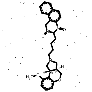 COc1cccc2c1[C@@H]1CN(CCCCC3[N+](=O)Cc4c(ccc5ccccc45)[N+]3=O)C[C@H]1CO2